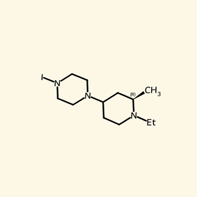 CCN1CCC(N2CCN(I)CC2)C[C@H]1C